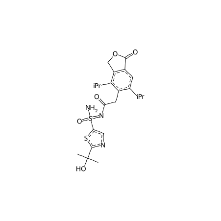 CC(C)c1cc2c(c(C(C)C)c1CC(=O)N=S(N)(=O)c1cnc(C(C)(C)O)s1)COC2=O